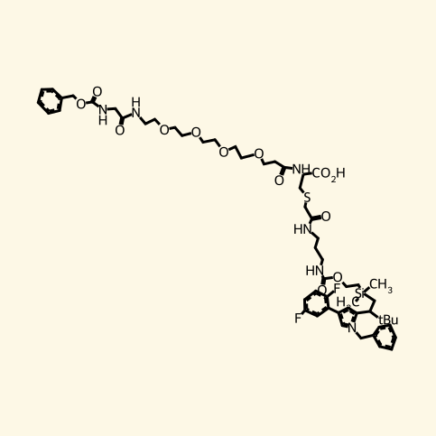 CC(C)(C)C(C[Si](C)(C)CCOC(=O)NCCCNC(=O)CSCC(NC(=O)CCOCCOCCOCCOCCNC(=O)CNC(=O)OCc1ccccc1)C(=O)O)c1cc(-c2cc(F)ccc2F)cn1Cc1ccccc1